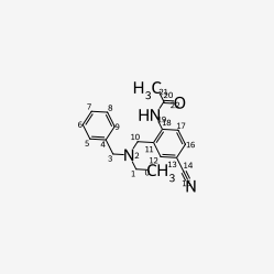 CCN(Cc1ccccc1)Cc1cc(C#N)ccc1NC(C)=O